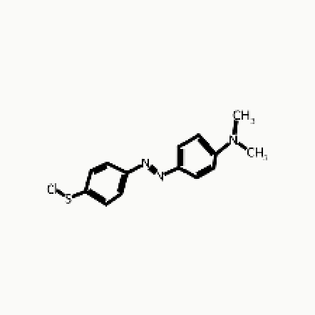 CN(C)c1ccc(N=Nc2ccc(SCl)cc2)cc1